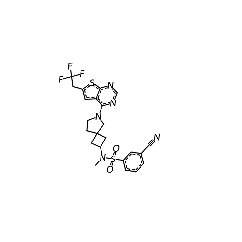 CN(C1CC2(CCN(c3ncnc4sc(CC(F)(F)F)cc34)C2)C1)S(=O)(=O)c1cccc(C#N)c1